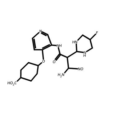 NC(N=O)C(C(=O)Nc1cnccc1OC1CCC(C(=O)O)CC1)C1NCC(F)CN1